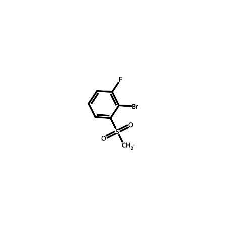 [CH2]S(=O)(=O)c1cccc(F)c1Br